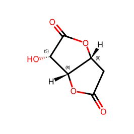 O=C1C[C@H]2OC(=O)[C@@H](O)[C@H]2O1